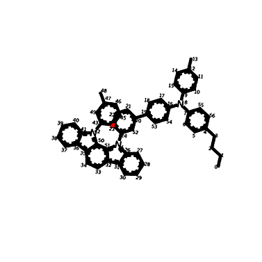 CCCCc1ccc(N(c2ccc(C)cc2)c2ccc(-c3cccc(-n4c5ccccc5c5ccc6c7ccccc7n(-c7cccc(C)c7)c6c54)c3)cc2)cc1